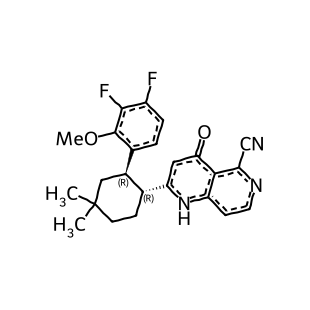 COc1c([C@@H]2CC(C)(C)CC[C@H]2c2cc(=O)c3c(C#N)nccc3[nH]2)ccc(F)c1F